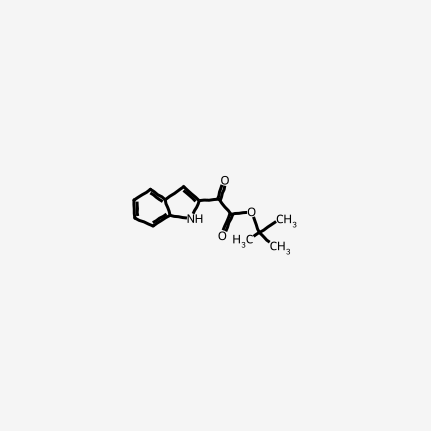 CC(C)(C)OC(=O)C(=O)c1cc2ccccc2[nH]1